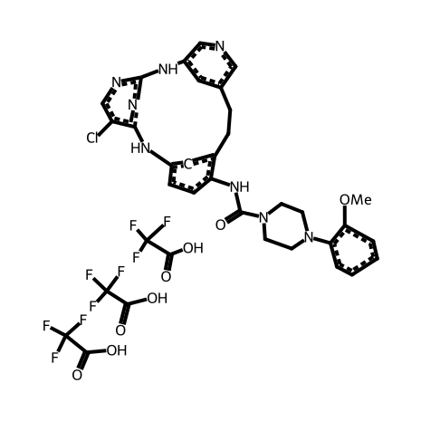 COc1ccccc1N1CCN(C(=O)Nc2ccc3cc2CCc2cncc(c2)Nc2ncc(Cl)c(n2)N3)CC1.O=C(O)C(F)(F)F.O=C(O)C(F)(F)F.O=C(O)C(F)(F)F